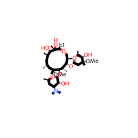 CC[C@H]1OC[C@@H](C)[C@H](O[C@H]2C[C@@](C)(OC)[C@@H](O)[C@H](C)O2)[C@H](C)[C@@H](O[C@@H]2O[C@H](C)C[C@H](N(C)C)[C@H]2O)[C@](C)(OC)C[C@H](C)C[C@@H](C)[C@@H](O)[C@]1(C)O